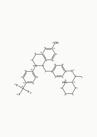 CC(Oc1ccc(CC2c3ccc(O)cc3CCN2c2ccc(C(F)(F)F)cc2)cc1)C1CCCCN1